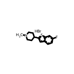 Br.CN1CCC(c2cc3ccc(F)cc3s2)CC1